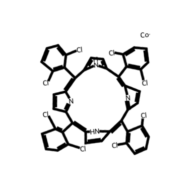 Clc1cccc(Cl)c1-c1c2nc(c(-c3c(Cl)cccc3Cl)c3ccc([nH]3)c(-c3c(Cl)cccc3Cl)c3nc(c(-c4c(Cl)cccc4Cl)c4ccc1[nH]4)C=C3)C=C2.[Co]